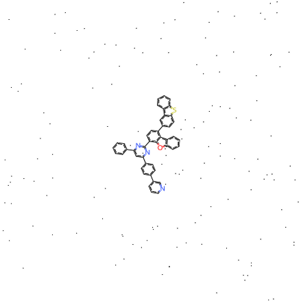 c1ccc(-c2cc(-c3ccc(-c4cccnc4)cc3)nc(-c3ccc(-c4ccc5sc6ccccc6c5c4)c4c3oc3ccccc34)n2)cc1